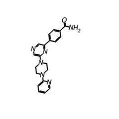 NC(=O)c1ccc(-c2cncc(N3CCN(c4ccccn4)CC3)n2)cc1